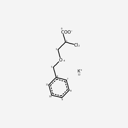 O=C([O-])C(Cl)COCc1ccccc1.[K+]